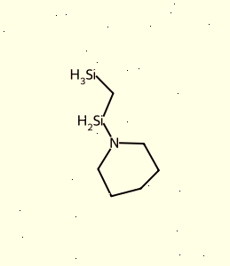 [SiH3]C[SiH2]N1CCCCC1